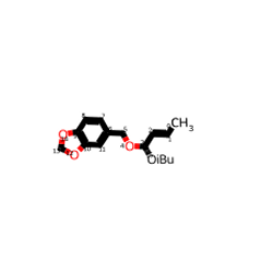 CC=CC(OCc1ccc2c(c1)OCO2)OCC(C)C